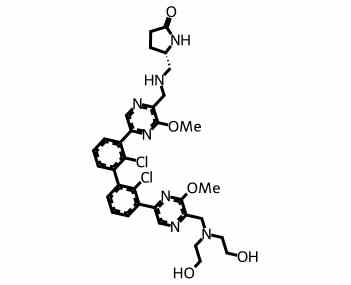 COc1nc(-c2cccc(-c3cccc(-c4cnc(CN(CCO)CCO)c(OC)n4)c3Cl)c2Cl)cnc1CNC[C@@H]1CCC(=O)N1